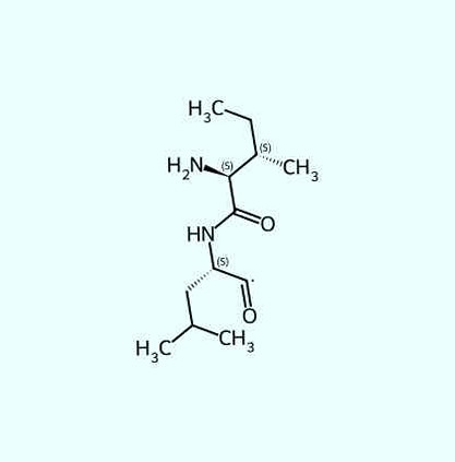 CC[C@H](C)[C@H](N)C(=O)N[C@H]([C]=O)CC(C)C